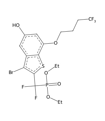 CCOP(=O)(OCC)C(F)(F)c1sc2c(OCCCC(F)(F)F)cc(O)cc2c1Br